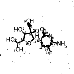 C#CC1(O)C(O)[C@@H]([C@@H](C)O)O[C@H]1n1cc(F)c(N)nc1=O